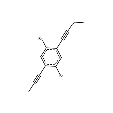 CC#Cc1cc(Br)c(C#CSI)cc1Br